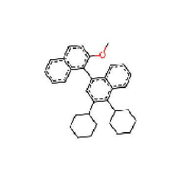 COc1ccc2ccccc2c1-c1[c]c(C2CCCCC2)c(C2CCCCC2)c2ccccc12